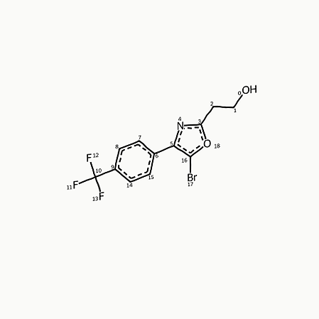 OCCc1nc(-c2ccc(C(F)(F)F)cc2)c(Br)o1